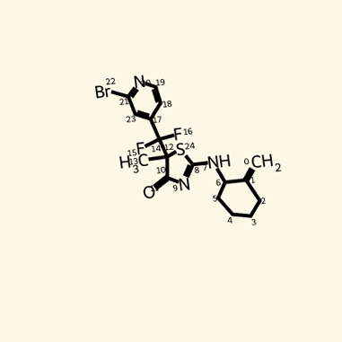 C=C1CCCCC1NC1=NC(=O)C(C)(C(F)(F)c2ccnc(Br)c2)S1